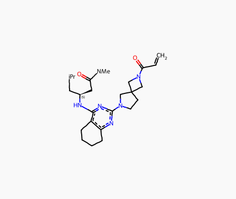 C=CC(=O)N1CC2(CCN(c3nc4c(c(N[C@H](CC(=O)NC)CC(C)C)n3)CCCC4)C2)C1